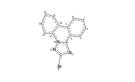 Brc1nc2c3ccccc3c3ccccc3n2n1